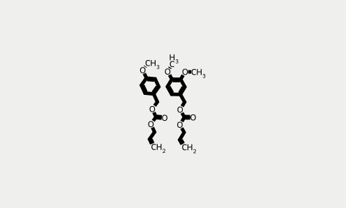 C=CCOC(=O)OCc1ccc(OC)c(OC)c1.C=CCOC(=O)OCc1ccc(OC)cc1